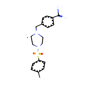 CC(=O)O.CCCc1ccc(S(=O)(=O)N2CCN(Cc3ccc(C(=N)N)cc3)CC2)cc1